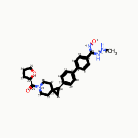 CNNC(N=O)c1ccc(-c2ccc([C@H]3CC34CCN(C(=O)[C@H]3CCCO3)CC4)cc2)cc1